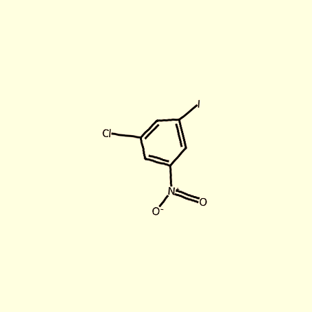 O=[N+]([O-])c1cc(Cl)cc(I)c1